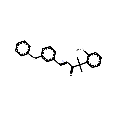 COc1ccccc1C(C)(C)C(=O)/C=C/c1cccc(Oc2ccccc2)c1